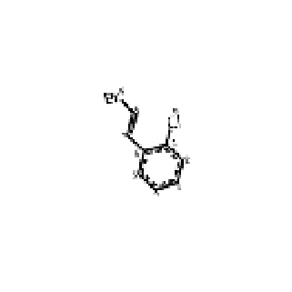 Clc1ccccc1/C=C/Br